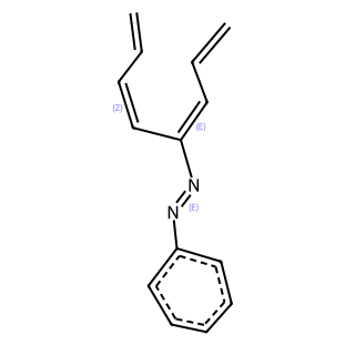 C=C\C=C/C(=C\C=C)/N=N/c1ccccc1